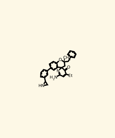 CCC1=CC(N)=NC2(C[C@@](C)(Cc3ccccc3)Oc3ccc(-c4cccc(C5CN5)c4)cc32)C1=O